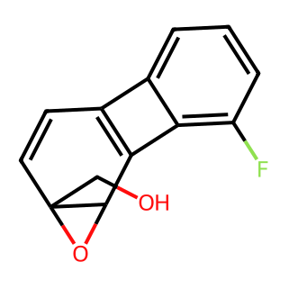 OCC12C=CC3=C(c4c(F)cccc43)C1O2